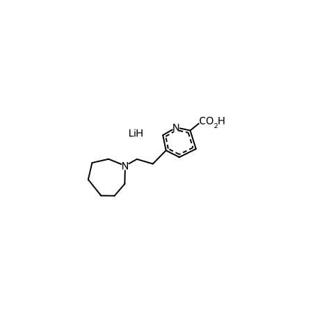 O=C(O)c1ccc(CCN2CCCCCC2)cn1.[LiH]